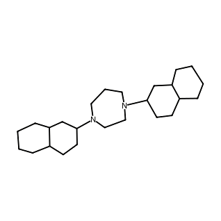 C1CCC2CC(N3CCCN(C4CCC5CCCCC5C4)CC3)CCC2C1